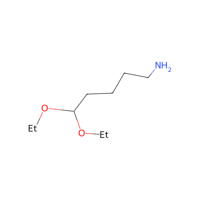 CCOC(CCCCN)OCC